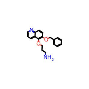 NCCCOc1c(OCc2ccccc2)ccc2ncccc12